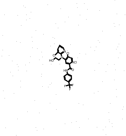 Cl.O=C(Nc1ccc(C(F)(F)F)cc1)c1ccc(Cl)c(N(CCO)c2ncccc2Cl)c1